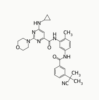 Cc1ccc(NC(=O)c2cccc(C(C)(C)C#N)c2)cc1NC(=O)c1cc(NC2CC2)nc(N2CCOCC2)n1